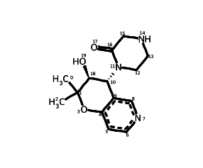 CC1(C)Oc2ccncc2[C@@H](N2CCNCC2=O)[C@@H]1O